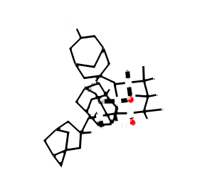 CC1CC2CC(C1)CC(C)(CS(=O)(=O)C(C)(S(=O)(=O)CC1(C)CC3CC4CC4(C3)C1)S(=O)(=O)C(F)(F)C(F)(F)C(F)(F)S(=O)(=O)OC13CC4CC(CC(C4)C1)C3)C2